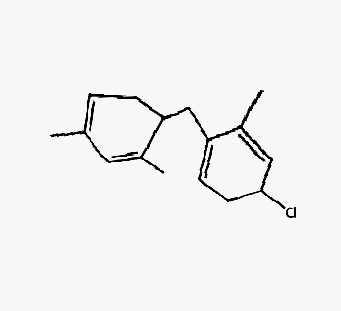 CC1=CCC(CC2=CCC(Cl)C=C2C)C(C)=C1